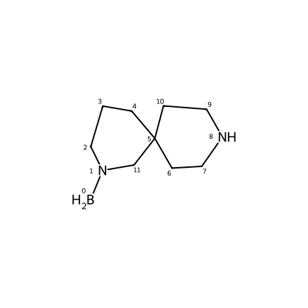 BN1CCCC2(CCNCC2)C1